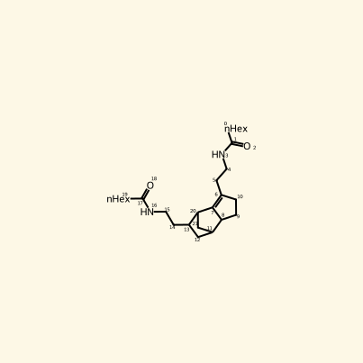 CCCCCCC(=O)NCCC1=C2C(CC1)C1CC(CCNC(=O)CCCCCC)C2C1